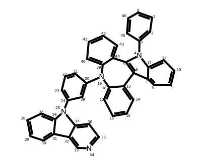 c1ccc(-n2c3c(c4ccccc42)-c2ccccc2N(c2cccc(-n4c5ccccc5c5cnccc54)c2)c2ccccc2-3)cc1